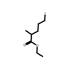 CCOC(=O)C(C)CCCI